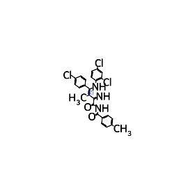 C/C(C(=N)C(=O)NC(=O)c1ccc(C)cc1)=C(/Nc1ccc(Cl)cc1Cl)c1ccc(Cl)cc1